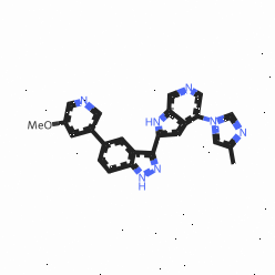 COc1cncc(-c2ccc3[nH]nc(-c4cc5c(-n6cnc(C)c6)cncc5[nH]4)c3c2)c1